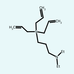 C=CC[Si](CC=C)(CC=C)CCCN(CC)CC